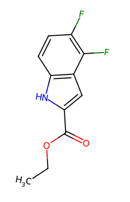 CCOC(=O)c1cc2c(F)c(F)ccc2[nH]1